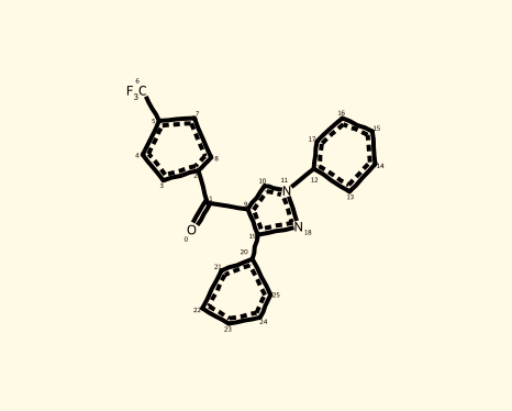 O=C(c1ccc(C(F)(F)F)cc1)c1cn(-c2ccccc2)nc1-c1ccccc1